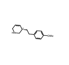 COc1ccc(CC[C@@H]2C=CCNC2)cc1